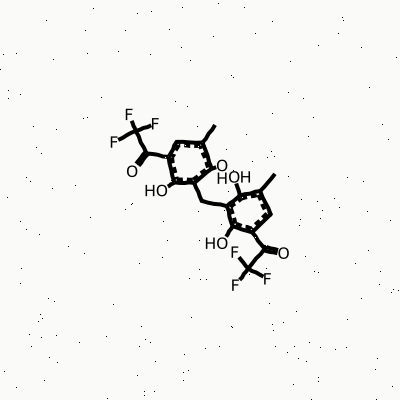 Cc1cc(C(=O)C(F)(F)F)c(O)c(Cc2c(O)c(C)cc(C(=O)C(F)(F)F)c2O)c1O